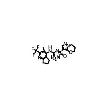 Cc1c(C(F)(F)F)nc2c(c1NC(=O)N=[S@](N)(=O)c1cnn3c1OCCC3)CCC2